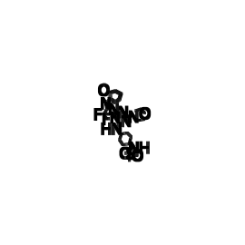 COc1cccc2c1nc(C(F)F)n2-c1nc(N[C@H]2CC[C@H](NS(C)(=O)=O)CC2)nc(N2CCOCC2)n1